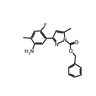 Cc1cc(F)c(-c2cc(C)n(C(=O)OCc3ccccc3)n2)cc1N